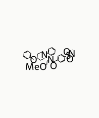 COCCN(C(=O)c1ccc(S(=O)(=O)N(C)C)cc1)c1ccccc1N1CCC(Oc2ccccc2)CC1